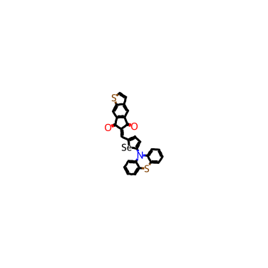 O=C1/C(=C\c2ccc(N3c4ccccc4Sc4ccccc43)[se]2)C(=O)c2cc3sccc3cc21